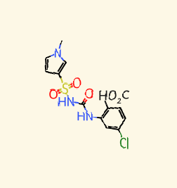 Cn1ccc(S(=O)(=O)NC(=O)Nc2cc(Cl)ccc2C(=O)O)c1